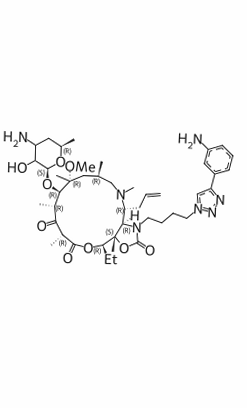 C=CC[C@@H]1[C@H]2N(CCCCn3cc(-c4cccc(N)c4)nn3)C(=O)O[C@]2(C)[C@@H](CC)OC(=O)[C@H](C)C(=O)[C@H](C)[C@@H](O[C@@H]2O[C@H](C)CC(N)C2O)[C@](C)(OC)C[C@@H](C)CN1C